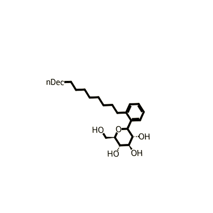 CCCCCCCCCCCCCCCCCCc1ccccc1[C]1O[C@H](CO)[C@@H](O)[C@H](O)[C@H]1O